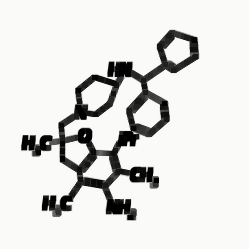 Cc1c(N)c(C)c(C(C)C)c2c1CC(C)(CN1CCC(NC(c3ccccc3)c3ccccc3)CC1)O2